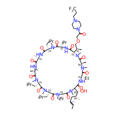 C/C=C/C[C@@H](C)[C@@H](O)C1C(=O)N[C@@H](CC)C(=O)N(C)[C@H](C)C(=O)N(C)[C@@H]([C@H](C)COCC(=O)N2CCN(CCC(F)(F)F)CC2)C(=O)N[C@@H](C(C)C)C(=O)N(C)[C@@H](CC(C)C)C(=O)N[C@@H](C)C(=O)N[C@H](C)C(=O)N(C)[C@@H](CC(C)C)C(=O)N(C)[C@@H](CC(C)C)C(=O)N(C)[C@@H](C(C)C)C(=O)N1C